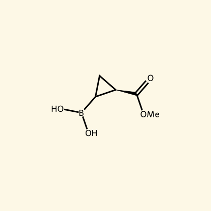 COC(=O)[C@@H]1CC1B(O)O